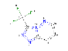 FC(F)(F)c1nnc2cccnn12